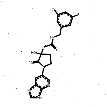 O=C(NCc1cc(F)cc(Cl)c1)OC1(O)CCN(c2cnc3[nH]cnc3c2)C1=O